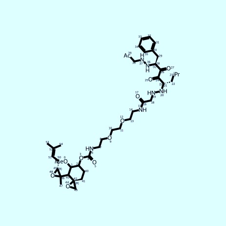 COC1C(OC(=O)NCCOCCOCCNC(=O)CNN[C@@H](CC(C)C)C(=O)C(=O)[C@H](Cc2ccccc2)NNCC(C)=O)CC[C@]2(CO2)C1C1(C)O[C@@H]1CC=C(C)C